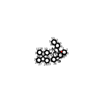 c1ccc(-c2nc(N(c3cccc(C4(c5ccccc5)c5ccccc5-c5ccccc54)c3)c3cccc4sc5ccccc5c34)nc3c2ccc2ccccc23)cc1